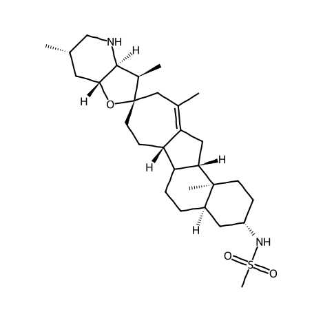 CC1=C2C[C@H]3C(CC[C@@H]4C[C@@H](NS(C)(=O)=O)CC[C@@]43C)[C@@H]2CC[C@@]2(C1)O[C@@H]1C[C@H](C)CN[C@H]1[C@H]2C